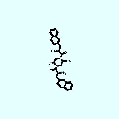 CCCCC1CN(C(=O)C(N)Cc2ccc3ccccc3c2)C(C)CN1C(=O)C(N)Cc1ccc2ccccc2c1